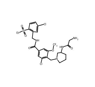 CCS(=O)(=O)c1ccc(Cl)cc1CNC(=O)c1cc(Cl)c(CN2CCCC(NC(=O)CN)C2)c(OC(F)(F)F)c1